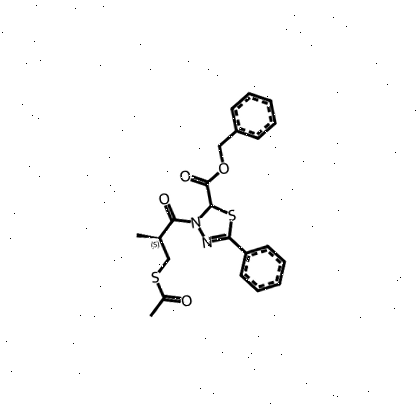 CC(=O)SC[C@@H](C)C(=O)N1N=C(c2ccccc2)SC1C(=O)OCc1ccccc1